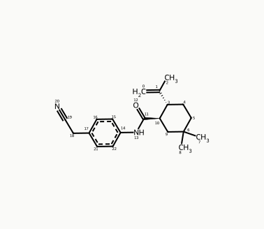 C=C(C)[C@@H]1CCC(C)(C)C[C@H]1C(=O)Nc1ccc(CC#N)cc1